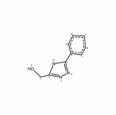 OCC1=NN=C(c2ccccc2)[N]1